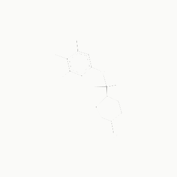 CCC1CCC(C(F)(F)Oc2cc(C)c(C)c(C)c2)CC1